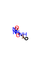 CN1COCC2C1N=CN2CC(=O)NCSCc1ccccc1